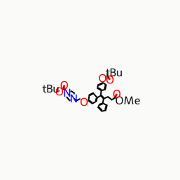 COC(=O)CCC(=C(c1ccc(OCCN2CCN(C(=O)OC(C)(C)C)CC2)cc1)c1ccc(OC(=O)C(C)(C)C)cc1)c1ccccc1